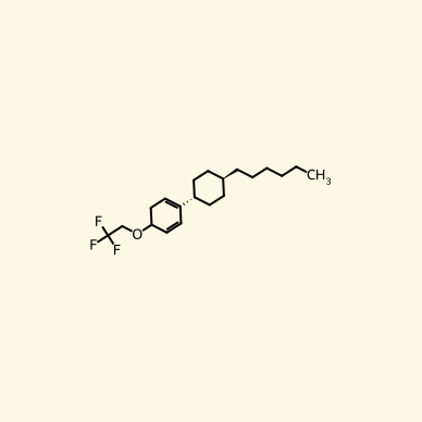 CCCCCC[C@H]1CC[C@H](C2=CCC(OCC(F)(F)F)C=C2)CC1